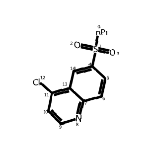 CCCS(=O)(=O)c1ccc2nccc(Cl)c2c1